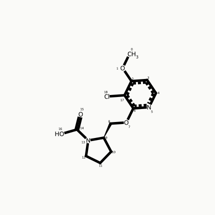 COc1ccnc(OC[C@H]2CCCN2C(=O)O)c1Cl